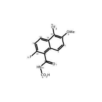 COc1ccc2c(C(=O)NC(=O)O)c(F)ccc2c1C(F)(F)F